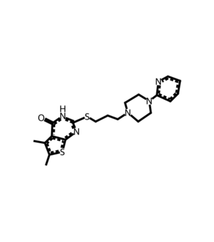 Cc1sc2nc(SCCCN3CCN(c4ccccn4)CC3)[nH]c(=O)c2c1C